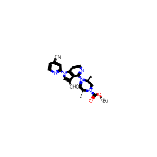 C[C@@H]1CN(c2nccc3c2c(C=O)cn3-c2cc(C#N)ccn2)[C@@H](C)CN1C(=O)OC(C)(C)C